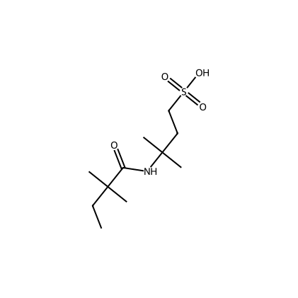 CCC(C)(C)C(=O)NC(C)(C)CCS(=O)(=O)O